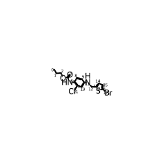 CCCOC(=O)Nc1ccc(NCc2ccc(Br)s2)cc1Cl